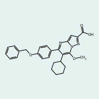 COc1c(C2CCCCC2)c(-c2ccc(OCc3ccccc3)cc2)nc2cc(C(=O)O)nn12